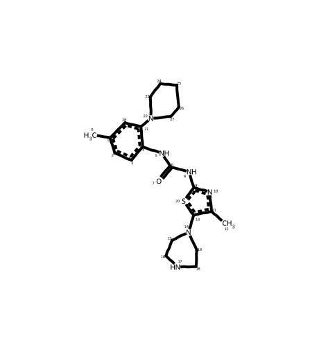 Cc1ccc(NC(=O)Nc2nc(C)c(N3CCNCC3)s2)c(N2CCCCC2)c1